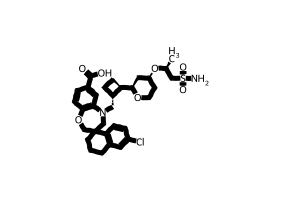 C[C@@H](CS(N)(=O)=O)O[C@@H]1CCO[C@@H]([C@@H]2CC[C@H]2CN2CC3(CCCc4cc(Cl)ccc43)COc3ccc(C(=O)O)cc32)C1